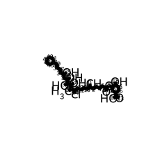 CC(/C=C/C=C/C(=O)OC1CC(C(=O)O)CCC1O)=C\C=C\C=C(/Cl)C(C)C(O)C(O)C(O)CC(O)/C=C/C=C/C1CCCCC1